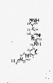 CN1CCN(c2cccc(CNc3cnc4cc(-c5cn[nH]c5)ccc4n3)c2)CC1